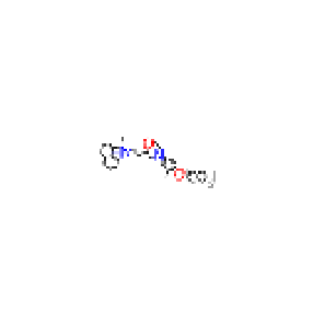 Cc1cc(N2CCOC(CCN[C@H](C)c3cccc4ccccc34)C2)ccc1OCC(=O)O